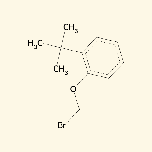 CC(C)(C)c1ccccc1OCBr